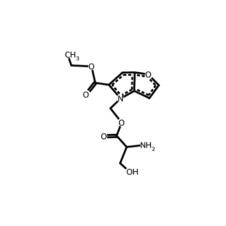 CCOC(=O)c1cc2occc2n1COC(=O)C(N)CO